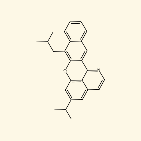 CC(C)Cc1c2c(cc3ccccc13)-c1nccc3cc(C(C)C)cc(c13)O2